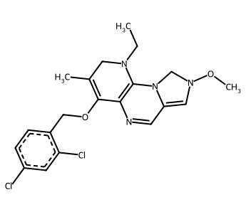 CCN1CC(C)=C(OCc2ccc(Cl)cc2Cl)C2=C1N1CN(OC)C=C1C=N2